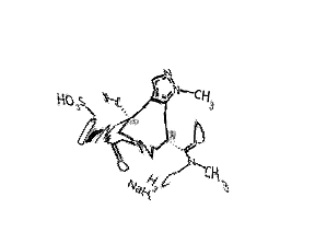 CN(C)C(=O)[C@H]1c2c(cnn2C)[C@H]2CN1C(=O)N2OS(=O)(=O)O.[NaH]